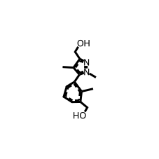 Cc1c(CO)cccc1-c1c(C)c(CO)nn1C